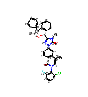 CCn1c(CO[Si](c2ccccc2)(c2ccccc2)C(C)(C)C)nn(-c2ccc3c(=O)n(-c4c(F)cccc4Cl)cc(C(C)C)c3c2)c1=O